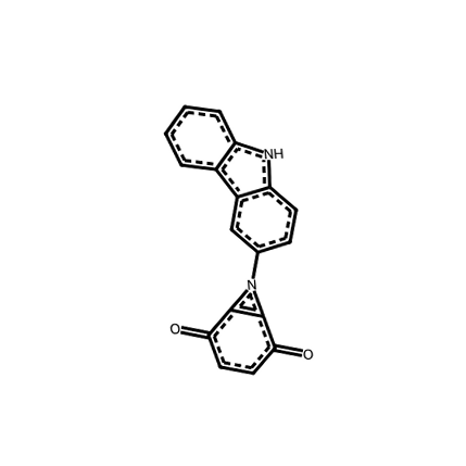 O=c1ccc(=O)c2n(-c3ccc4[nH]c5ccccc5c4c3)c1=2